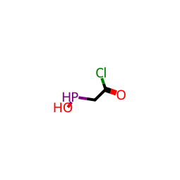 O=C(Cl)CPO